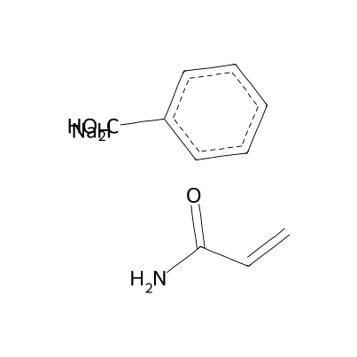 C=CC(N)=O.O=C(O)c1ccccc1.[NaH]